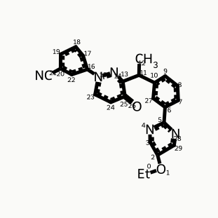 CCOc1cnc(-c2cccc(C(C)c3nn(-c4cccc(C#N)c4)ccc3=O)c2)nc1